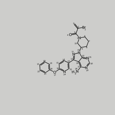 C=C(Br)C(=O)N1CCCC(n2nc(-c3ccc(Oc4ccccc4)nc3)c3c(N)ncnc32)C1